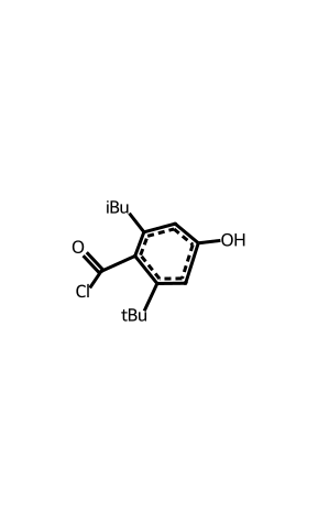 CCC(C)c1cc(O)cc(C(C)(C)C)c1C(=O)Cl